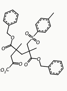 CCOC(=O)C(=O)CC(C)(CC(C)(CS(=O)(=O)c1ccc(C)cc1)C(=O)OCc1ccccc1)C(=O)OCc1ccccc1